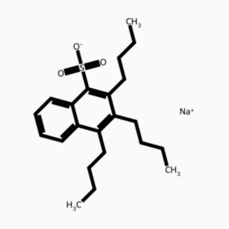 CCCCc1c(CCCC)c(S(=O)(=O)[O-])c2ccccc2c1CCCC.[Na+]